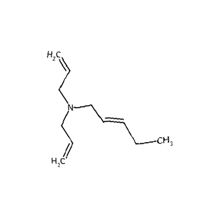 C=CCN(CC=C)CC=CCC